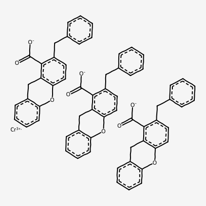 O=C([O-])c1c(Cc2ccccc2)ccc2c1Cc1ccccc1O2.O=C([O-])c1c(Cc2ccccc2)ccc2c1Cc1ccccc1O2.O=C([O-])c1c(Cc2ccccc2)ccc2c1Cc1ccccc1O2.[Cr+3]